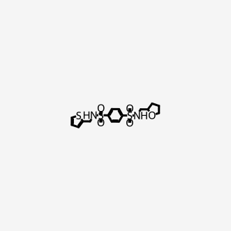 O=S(=O)(NCc1cccs1)c1ccc(S(=O)(=O)NCC2CCCO2)cc1